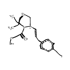 CC(C)(C)OC(=O)N1[C@H](C=Cc2ccc(F)cc2)COC1(C)C